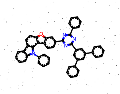 c1ccc(-c2cc(-c3ccccc3)cc(-c3nc(-c4ccccc4)nc(-c4ccc5c(c4)oc4ccc6c7ccccc7n(-c7ccccc7)c6c45)n3)c2)cc1